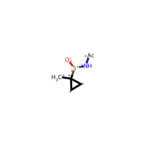 CC(=O)N[S+]([O-])C1(C)CC1